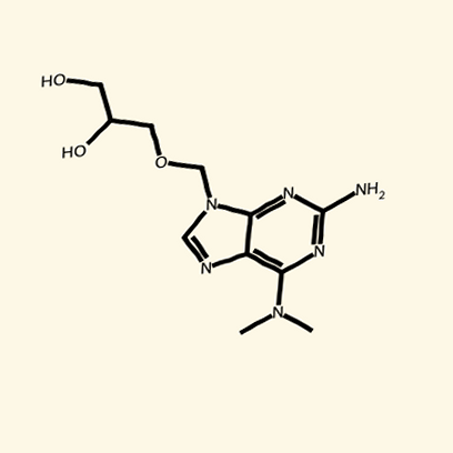 CN(C)c1nc(N)nc2c1ncn2COCC(O)CO